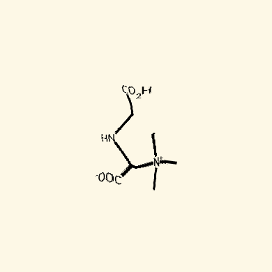 C[N+](C)(C)C(NCC(=O)O)C(=O)[O-]